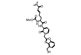 COC(=O)NC(CCC=CC(=O)N(C)C)C(=O)Nc1cccn(Cc2nc3c(CC(C)C)cccc3o2)c1=O